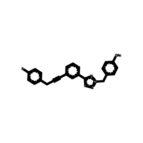 CC(=O)Oc1ccc(Cn2nnc(-c3cccc(C#CCc4ccc(F)cc4)c3)n2)cc1